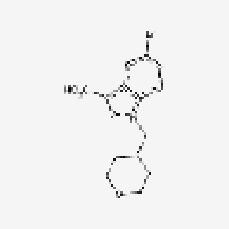 O=C(O)c1cn(CC2CCOCC2)c2ccc(Br)cc12